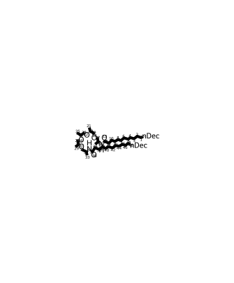 CCCCCCCCCCCCCCCCCCCCCC(=O)NC(C)COCC(C)OCC(C)OCC(C)OCC(C)NC(=O)CCCCCCCCCCCCCCCCCCCCC